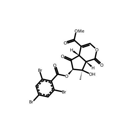 COC(=O)C1=COC(=O)[C@H]2[C@@H]1C(=O)[C@H](OC(=O)c1c(Br)cc(Br)cc1Br)[C@]2(C)O